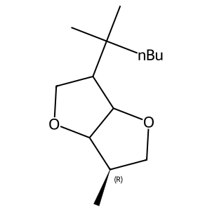 CCCCC(C)(C)C1COC2C1OC[C@H]2C